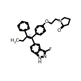 CC/C(=C(/c1ccc(OCCN2CCCC2=O)cc1)c1ccc2[nH]nc(F)c2c1)c1ccccc1